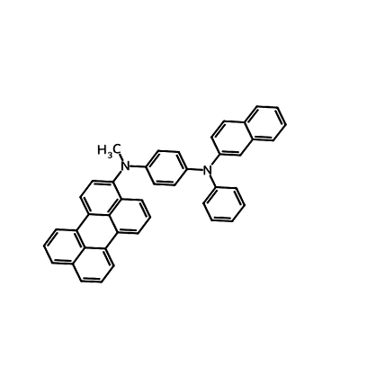 CN(c1ccc(N(c2ccccc2)c2ccc3ccccc3c2)cc1)c1ccc2c3cccc4cccc(c5cccc1c52)c43